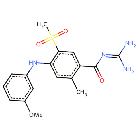 COc1cccc(Nc2cc(C)c(C(=O)N=C(N)N)cc2S(C)(=O)=O)c1